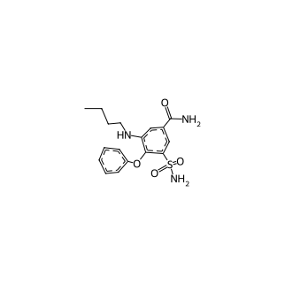 CCCCNc1cc(C(N)=O)cc(S(N)(=O)=O)c1Oc1ccccc1